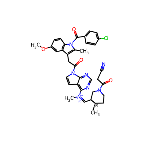 COc1ccc2c(c1)c(CC(=O)n1ccc3c(/[N+](C)=C\C4CN(C(=O)CC#N)CC[C@H]4C)ncnc31)c(C)n2C(=O)c1ccc(Cl)cc1